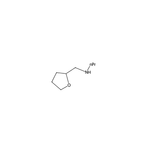 CCCNCC1CCCO1